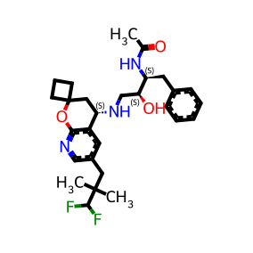 CC(=O)N[C@@H](Cc1ccccc1)[C@@H](O)CN[C@H]1CC2(CCC2)Oc2ncc(CC(C)(C)C(F)F)cc21